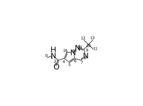 CNC(=O)c1cc2cnc(C(C)(C)C)nn2c1